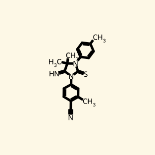 Cc1ccc(N2C(=S)N(c3ccc(C#N)c(C)c3)C(=N)C2(C)C)cc1